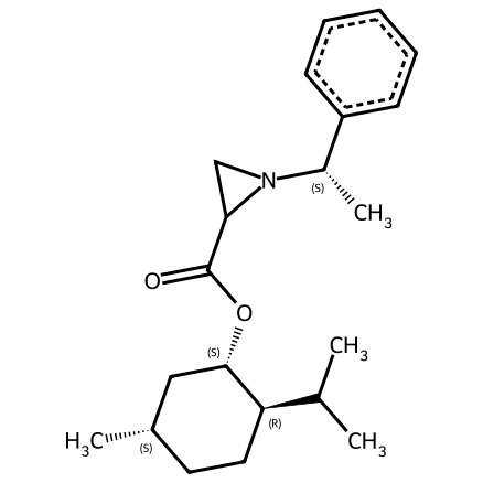 CC(C)[C@H]1CC[C@H](C)C[C@@H]1OC(=O)C1CN1[C@@H](C)c1ccccc1